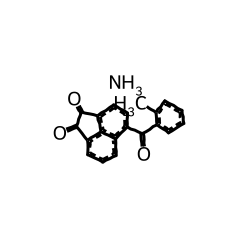 Cc1ccccc1C(=O)c1ccc2c3c(cccc13)C(=O)C2=O.N